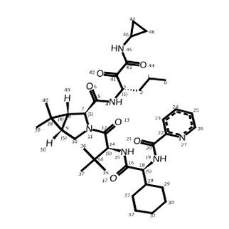 CCC[C@H](NC(=O)[C@@H]1[C@@H]2[C@H](CN1C(=O)[C@@H](NC(=O)[C@@H](NC(=O)c1ccccn1)C1CCCCC1)C(C)(C)C)C2(C)C)C(=O)C(=O)NC1CC1